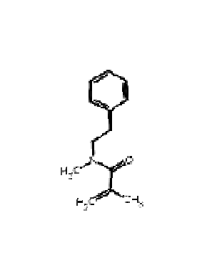 C=C(C)C(=O)N(C)CCc1ccccc1